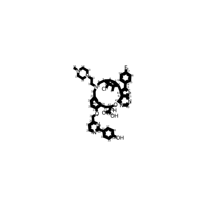 Cc1c2ccc(c1Cl)CN(CCN1CCN(C)CC1)Cc1ccc(OCc3ccnc(-c4ccc(O)cc4)n3)c(c1)C[C@H](C(=O)O)Oc1ncnc3sc(-c4ccc(F)cc4)c-2c13